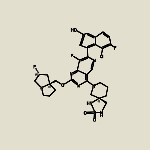 O=S1(=O)NC[C@@]2(CCCN(c3nc(OC[C@@]45CCCN4C[C@H](F)C5)nc4c(F)c(-c5cc(O)cc6ccc(F)c(Cl)c56)ncc34)C2)N1